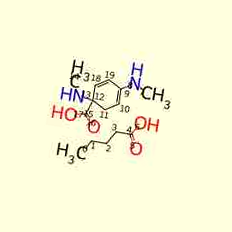 CCCCC(=O)O.CNC1=CCC(NC)(C(=O)O)C=C1